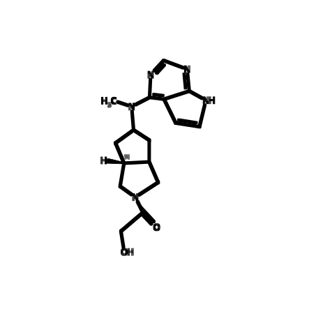 CN(c1ncnc2[nH]ccc12)C1CC2CN(C(=O)CO)C[C@@H]2C1